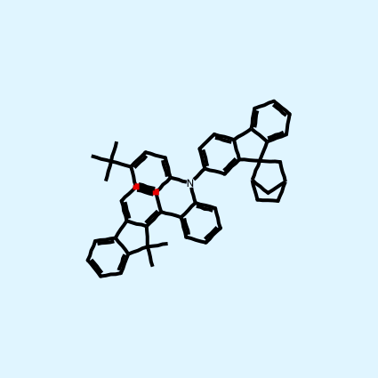 CC(C)(C)c1ccc(N(c2ccc3c(c2)C2(CC4CCC2C4)c2ccccc2-3)c2ccccc2-c2cccc3c2C(C)(C)c2ccccc2-3)cc1